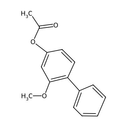 COc1cc(OC(C)=O)ccc1-c1ccccc1